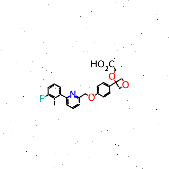 Cc1c(F)cccc1-c1cccc(COc2ccc(C3(OCC(=O)O)COC3)cc2)n1